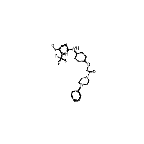 O=Nc1ccc(NC2CCC(OCC(=O)N3CCN(c4ccccc4)CC3)CC2)nc1C(F)(F)F